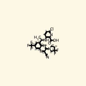 C[C@@H](Nc1ccc(Cl)nc1C(=O)O)c1cc(C(F)(F)F)cc2nc(C#N)c(N3CCC(F)(F)C3)nc12